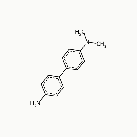 CN(C)c1ccc(-c2ccc(N)cc2)cc1